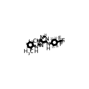 Cc1cccc(C)c1Nc1nc2c(Nc3ccc(C(F)(F)F)cc3)ncnc2s1